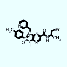 Cc1ccc(S(=O)(=O)Nc2ncc(C(=O)NC(C)CC(C)C)nc2OCc2cccnc2)cc1